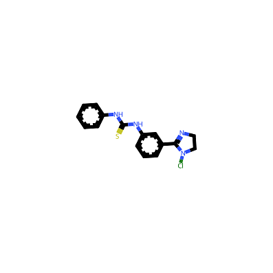 S=C(Nc1ccccc1)Nc1cccc(C2=NCCN2Cl)c1